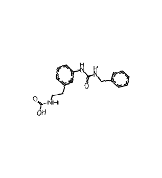 O=C(O)NCCc1cccc(NC(=O)NCc2ccccc2)c1